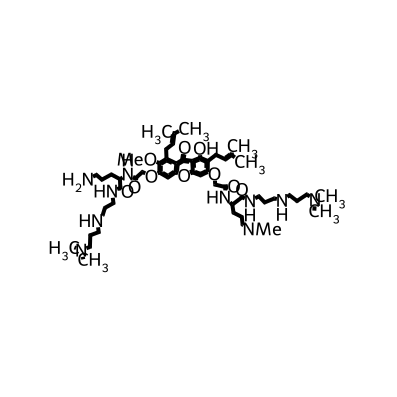 CNCCCC(NC(=O)COc1cc2oc3cc(OCC(=O)NC(CCCN)C(=O)NCCCNCCCN(C)C)c(OC)c(CC=C(C)C)c3c(=O)c2c(O)c1CC=C(C)C)C(=O)NCCCNCCCN(C)C